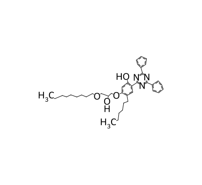 CCCCCCCCCOCC(O)COc1cc(O)c(-c2nc(-c3ccccc3)nc(-c3ccccc3)n2)cc1CCCCCC